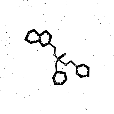 O=P(Cc1ccccc1)(OCc1ccccc1)OCc1ccc2ccccc2c1